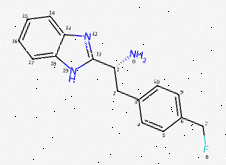 N[C@H](Cc1ccc(CF)cc1)c1nc2ccccc2[nH]1